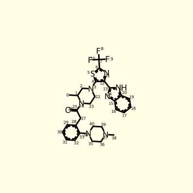 CC1CN(c2sc(C(F)(F)F)nc2-c2nc3ccccc3[nH]2)CCN1C(=O)Cc1ccccc1N1CCN(C)CC1